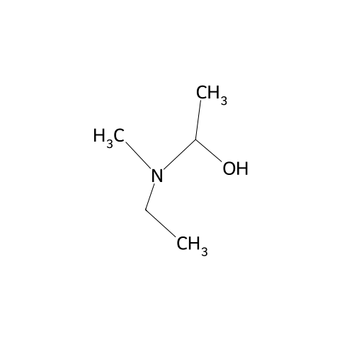 CCN(C)C(C)O